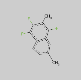 Cc1ccc2c(F)c(F)c(C)c(F)c2c1